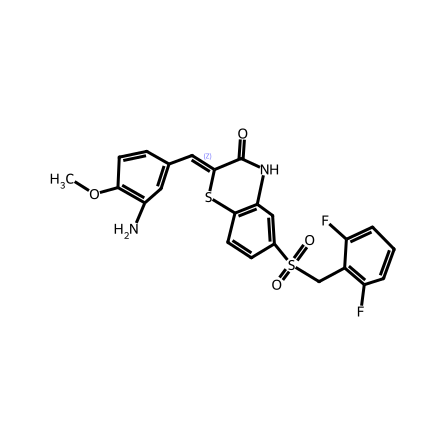 COc1ccc(/C=C2\Sc3ccc(S(=O)(=O)Cc4c(F)cccc4F)cc3NC2=O)cc1N